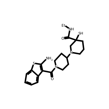 CCNC(=O)C1(S)CCCN(C2CCN(C(=O)c3c(N)sc4ccccc34)CC2)C1